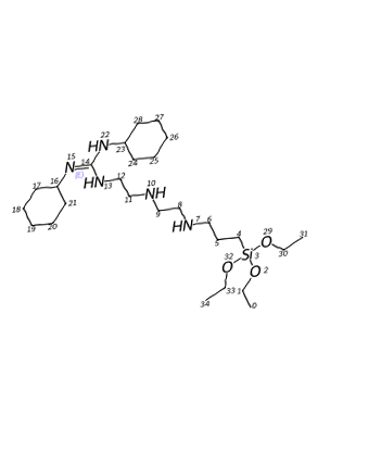 CCO[Si](CCCNCCNCCN/C(=N\C1CCCCC1)NC1CCCCC1)(OCC)OCC